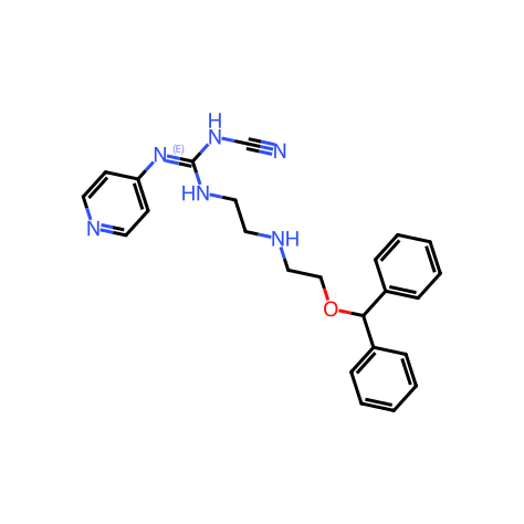 N#CN/C(=N/c1ccncc1)NCCNCCOC(c1ccccc1)c1ccccc1